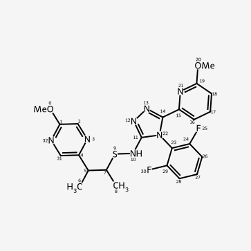 COc1cnc(C(C)C(C)SNc2nnc(-c3cccc(OC)n3)n2-c2c(F)cccc2F)cn1